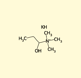 CCC(O)[N+](C)(C)C.[KH]